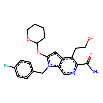 NC(=O)c1ncc2c(cc(OC3CCCCO3)n2Cc2ccc(F)cc2)c1CCO